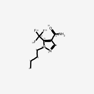 CCCCn1ncc(C(N)=O)c1C(F)(F)F